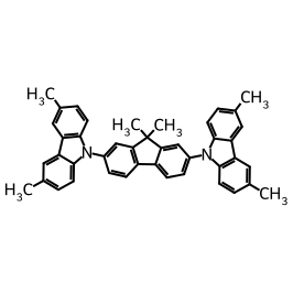 Cc1ccc2c(c1)c1cc(C)ccc1n2-c1ccc2c(c1)C(C)(C)c1cc(-n3c4ccc(C)cc4c4cc(C)ccc43)ccc1-2